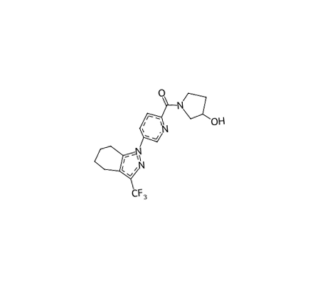 O=C(c1ccc(-n2nc(C(F)(F)F)c3c2CCCC3)cn1)N1CCC(O)C1